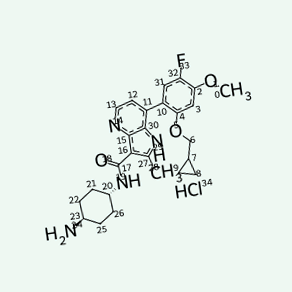 COc1cc(OCC2CC2)c(-c2ccnc3c(C(=O)N[C@H]4CC[C@H](N)CC4)c(C)[nH]c23)cc1F.Cl